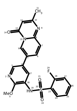 COc1ncc(-c2ccc3nc(C)cc(=O)n3c2)cc1NS(=O)(=O)c1ccccc1F